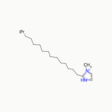 CC(C)CCCCCCCCCCCCCc1[nH]cc[n+]1C